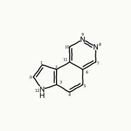 c1cc2c(ccc3cnncc32)[nH]1